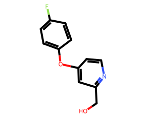 OCc1cc(Oc2ccc(F)cc2)ccn1